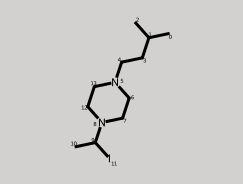 CC(C)CCN1CCN(C(C)I)CC1